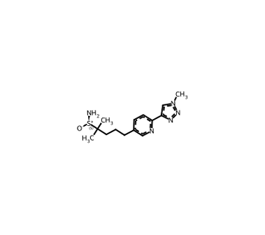 Cn1cc(-c2ccc(CCCC(C)(C)[S@+](N)[O-])cn2)nn1